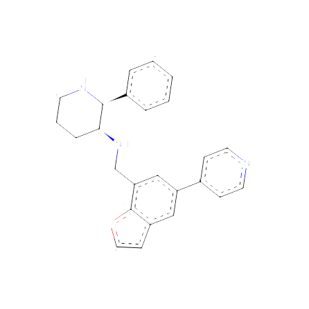 c1ccc([C@@H]2NCCC[C@@H]2NCc2cc(-c3ccncc3)cc3ccoc23)cc1